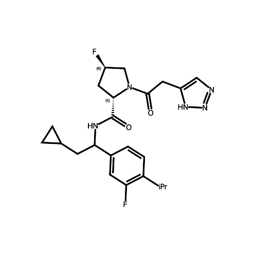 CC(C)c1ccc(C(CC2CC2)NC(=O)[C@@H]2C[C@@H](F)CN2C(=O)Cc2cnn[nH]2)cc1F